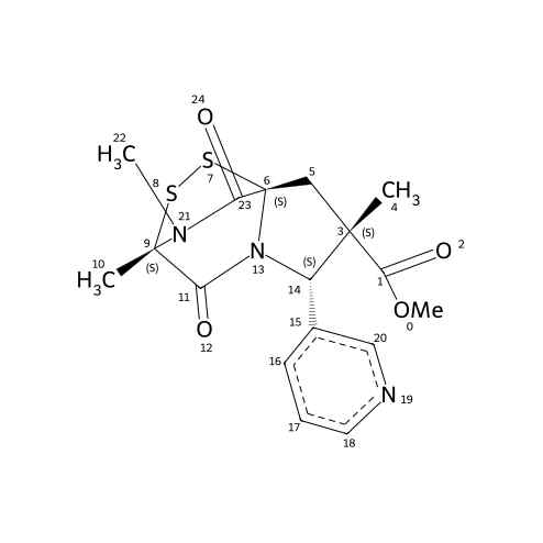 COC(=O)[C@@]1(C)C[C@@]23SS[C@@](C)(C(=O)N2[C@H]1c1cccnc1)N(C)C3=O